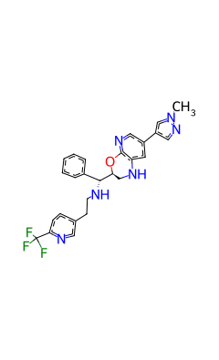 Cn1cc(-c2cnc3c(c2)NC[C@@H]([C@H](NCCc2ccc(C(F)(F)F)nc2)c2ccccc2)O3)cn1